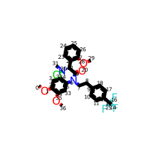 COc1ccc(N(CCc2ccc(C(F)(F)F)cc2)C(=O)[C@@H](c2ccccc2OC)N(C)Cl)cc1OC